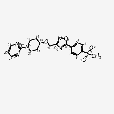 CS(=O)(=O)c1ccc(-c2nc(COC3CCN(c4ncccn4)CC3)no2)cc1